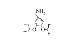 CCC(CC)Oc1cc(CN)ccc1OC(F)F